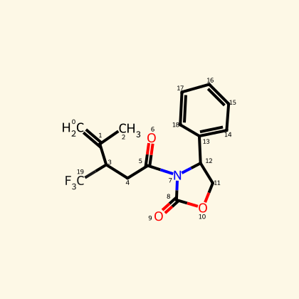 C=C(C)C(CC(=O)N1C(=O)OCC1c1ccccc1)C(F)(F)F